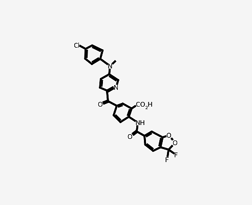 CN(c1ccc(Cl)cc1)c1ccc(C(=O)c2ccc(NC(=O)c3ccc4c(c3)OOC4(F)F)c(C(=O)O)c2)nc1